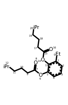 CCc1cccc(OC(=O)CCCC(C)C)c1OC(=O)CCCC(C)C